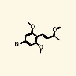 COc1cc(Br)cc(OC)c1/C=C/[C@H](C)OC